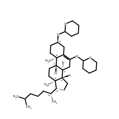 CC(C)CCC[C@@H](C)[C@H]1CC[C@H]2[C@@H]3CC(OC4CCCCO4)=C4C[C@H](OC5CCCCO5)CC[C@]4(C)[C@H]3CC[C@]12C